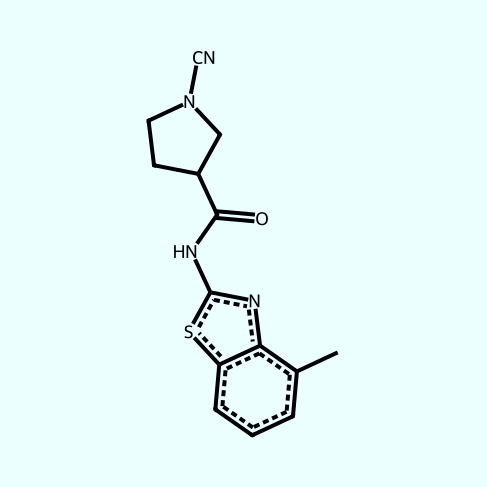 Cc1cccc2sc(NC(=O)C3CCN(C#N)C3)nc12